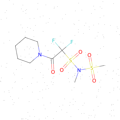 CN(S(C)(=O)=O)S(=O)(=O)C(F)(F)C(=O)N1CCCCC1